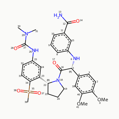 COc1ccc([C@@H](Nc2cccc(C(N)=O)c2)C(=O)N2CCC[C@@H]2c2cc(NC(=O)N(C)C)ccc2S(C)(=O)=O)cc1OC